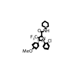 COc1ccc([C@@H]2[C@@H](C(F)(F)F)C(C(=O)NN3CCCCC3)=NN2c2ccccc2Cl)cc1